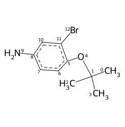 CC(C)(C)Oc1ccc(N)cc1Br